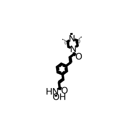 C[C@@H]1CN(C(=O)C=Cc2cccc(C=CC(=O)NO)c2)C[C@H](C)N1C